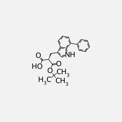 CC(C)(C)OC(=O)[C@H](Cc1c[nH]c2c(-c3ccccc3)cccc12)C(=O)O